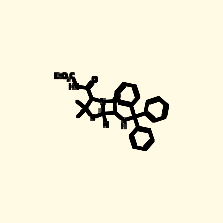 CCOC(=O)NC(=O)C1N2C(=O)C(NC(c3ccccc3)(c3ccccc3)c3ccccc3)[C@@H]2SC1(C)C